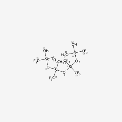 C[Si](O)(O[Si](C)(O[Si](C)(O[Si](C)(O)C(F)(F)F)C(F)(F)F)C(F)(F)F)C(F)(F)F